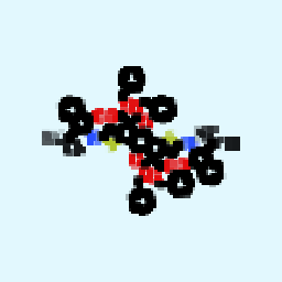 N#CC(C#N)=C1/C(=N/c2cc3c(s2)-c2cc4c(cc2C3(C(=O)OCc2ccccc2)C(=O)OCc2ccccc2)-c2sc(/N=C3\C(=O)c5ccccc5C3=C(C#N)C#N)cc2C4(C(=O)OCc2ccccc2)C(=O)OCc2ccccc2)C(=O)c2ccccc21